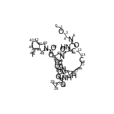 CCOCCN(C)C(=O)N[C@H]1CCCCC/C=C\[C@@H]2C[C@@]2(C(=O)NS(=O)(=O)C2CC2)NC(=O)[C@@H]2C[C@@H](OC(=O)N3Cc4cccc(F)c4C3)CN2C1=O